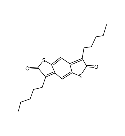 CCCCCC1=c2cc3c(cc2SC1=O)=C(CCCCC)C(=O)S3